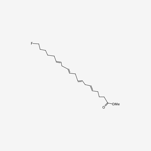 COC(=O)CCCC=CCC=CCC=CCC=CCCCCCF